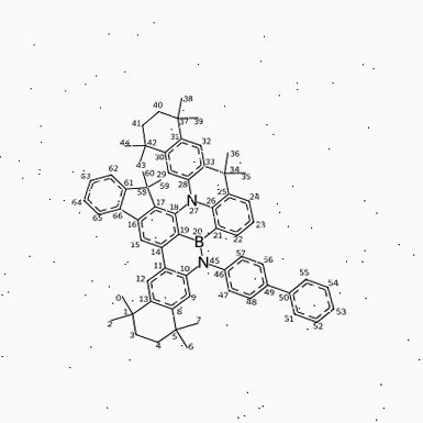 CC1(C)CCC(C)(C)c2cc3c(cc21)-c1cc2c(c4c1B(c1cccc5c1N4c1cc4c(cc1C5(C)C)C(C)(C)CCC4(C)C)N3c1ccc(-c3ccccc3)cc1)C(C)(C)c1ccccc1-2